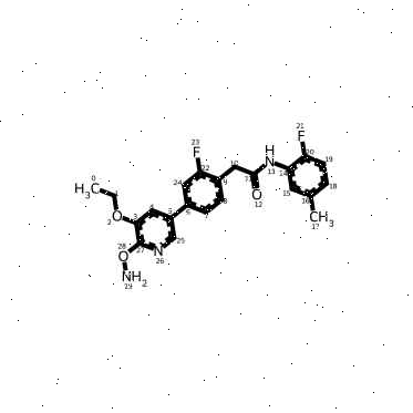 CCOc1cc(-c2ccc(CC(=O)Nc3cc(C)ccc3F)c(F)c2)cnc1ON